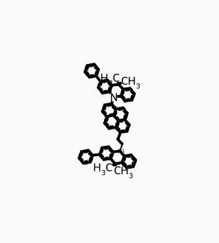 CC1(C)c2ccccc2[C@H](CCc2ccc3ccc4c(N5c6ccccc6C(C)(C)c6cc(-c7ccccc7)ccc65)ccc5ccc2c3c54)c2ccc(-c3ccccc3)cc21